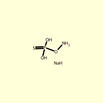 NOP(O)(O)=S.[NaH]